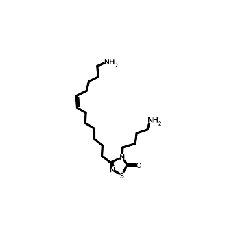 NCCCC/C=C\CCCCCCc1nsc(=O)n1CCCCN